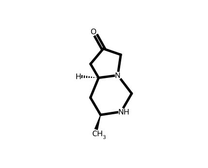 C[C@H]1C[C@H]2CC(=O)CN2CN1